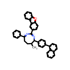 CC1CC/C(c2ccccc2)=N\C(c2ccc3oc4ccccc4c3c2)=N/C1c1ccc(-c2cccc3ccccc23)cc1